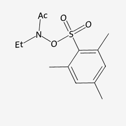 CCN(OS(=O)(=O)c1c(C)cc(C)cc1C)C(C)=O